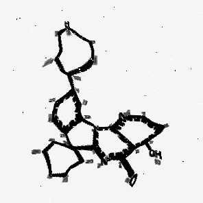 O=c1nc2n(c3nccc(O)c13)-c1cc(C3CCNCC3)ccc1C21CCCCC1